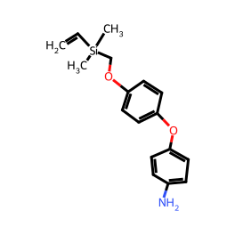 C=C[Si](C)(C)COc1ccc(Oc2ccc(N)cc2)cc1